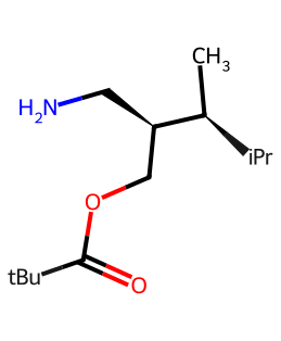 CC(C)[C@H](C)[C@H](CN)COC(=O)C(C)(C)C